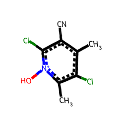 Cc1c(Cl)c(C)[n+](O)c(Cl)c1C#N